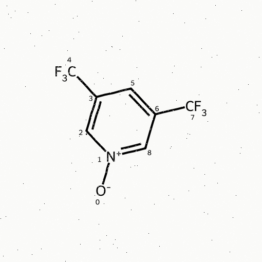 [O-][n+]1[c]c(C(F)(F)F)cc(C(F)(F)F)c1